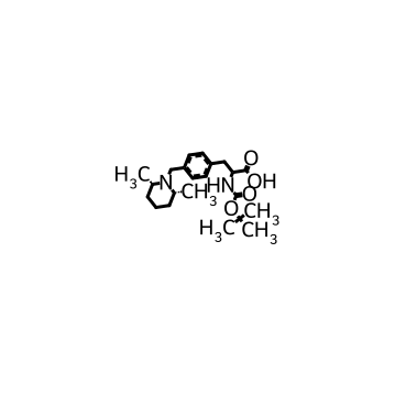 C[C@@H]1CCC[C@H](C)N1Cc1ccc(CC(NC(=O)OC(C)(C)C)C(=O)O)cc1